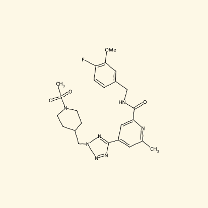 COc1cc(CNC(=O)c2cc(-c3nnn(CC4CCN(S(C)(=O)=O)CC4)n3)cc(C)n2)ccc1F